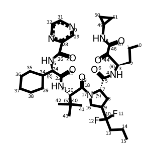 CCC[C@@H](NC(=O)[C@@H]1CC(C(F)(F)CCC)CN1C(=O)[C@@H](NC(=O)[C@H](NC(=O)c1cnccn1)C1CCCCC1)C(C)(C)C)C(=O)C(=O)NC1CC1